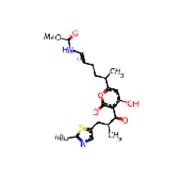 CCCCc1ncc(CC(C)C(=O)c2c(O)cc(C(C)CC/C=C/NC(=O)OC)oc2=O)s1